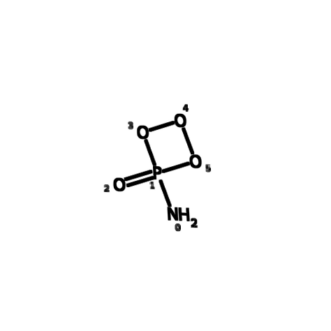 NP1(=O)OOO1